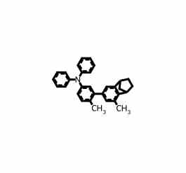 Cc1ccc(N(c2ccccc2)c2ccccc2)cc1-c1cc(C)c2c(c1)C1CCC2C1